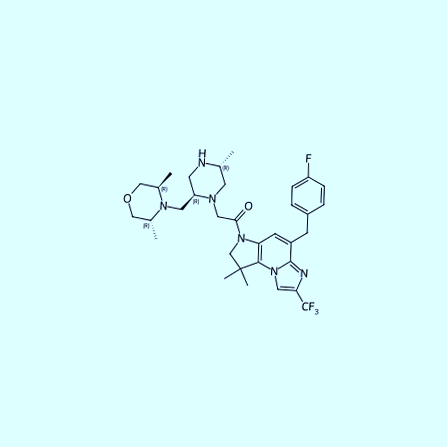 C[C@@H]1CN(CC(=O)N2CC(C)(C)c3c2cc(Cc2ccc(F)cc2)c2nc(C(F)(F)F)cn32)[C@@H](CN2[C@H](C)COC[C@H]2C)CN1